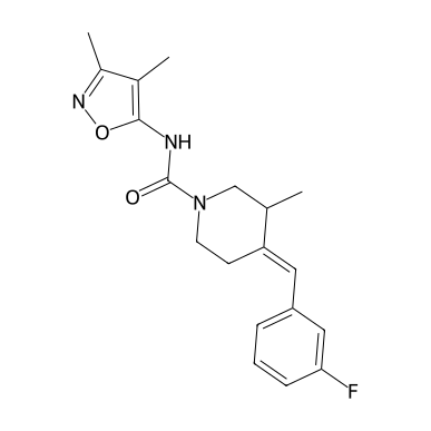 Cc1noc(NC(=O)N2CCC(=Cc3cccc(F)c3)C(C)C2)c1C